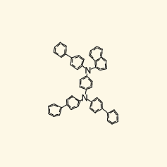 c1ccc(-c2ccc(N(c3ccc(-c4ccccc4)cc3)c3ccc(N(c4ccc(-c5ccccc5)cc4)c4cccc5ccccc45)cc3)cc2)cc1